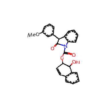 COc1cccc(C2C(=O)N(C(=O)OC3C=Cc4ccccc4C3O)c3ccccc32)c1